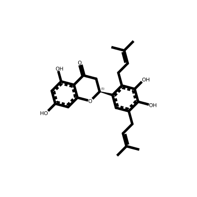 CC(C)=CCc1cc([C@@H]2CC(=O)c3c(O)cc(O)cc3O2)c(CC=C(C)C)c(O)c1O